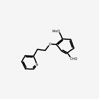 COc1ccc(C=O)cc1OCCc1ccccn1